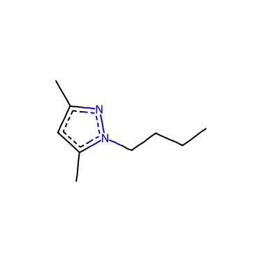 CCCCn1nc(C)cc1C